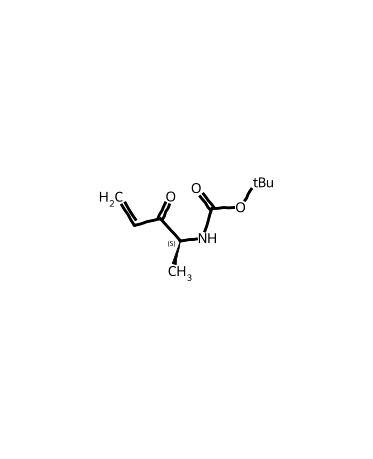 C=CC(=O)[C@H](C)NC(=O)OC(C)(C)C